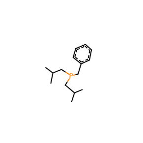 CC(C)CP(Cc1ccccc1)CC(C)C